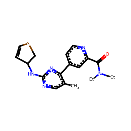 CCN(CC)C(=O)c1cc(-c2nc(NC3C=CSC3)ncc2C)ccn1